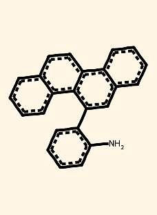 Nc1ccccc1-c1cc2ccccc2c2ccc3ccccc3c12